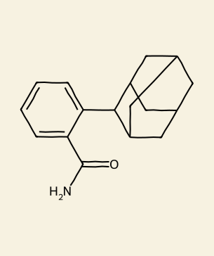 NC(=O)c1ccccc1C1C2CC3CC(C2)CC1C3